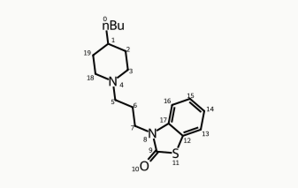 CCCCC1CCN(CCCn2c(=O)sc3ccccc32)CC1